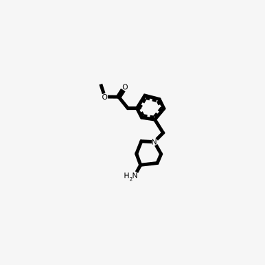 COC(=O)Cc1cccc(CN2CCC(N)CC2)c1